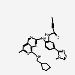 CC#CC(=O)Nc1cc(-c2nncn2C)ccc1Nc1ncc2cc(C)nc(NCC3CCCC3)c2n1